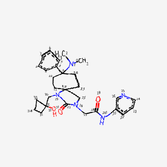 CN(C)C1(c2ccccc2)CCC2(CC1)CN(CC(=O)Nc1cccnc1)C(=O)N2CC1(O)CCC1